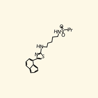 CC(C)S(=O)(=O)NCCCCCNc1nc(-c2cccc3ccccc23)cs1